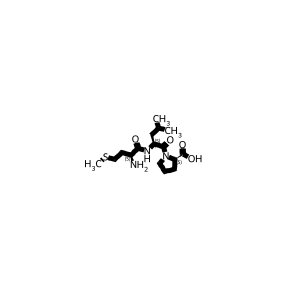 CSCC[C@H](N)C(=O)N[C@@H](CC(C)C)C(=O)N1CCC[C@H]1C(=O)O